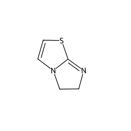 C1=CN2CCN=C2S1